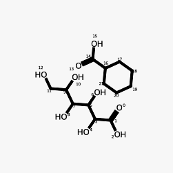 O=C(O)C(O)C(O)C(O)C(O)CO.O=C(O)C1CCCCC1